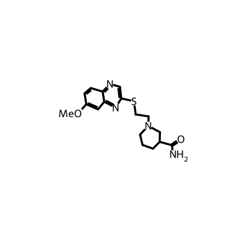 COc1ccc2ncc(SCCN3CCCC(C(N)=O)C3)nc2c1